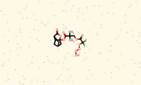 CC(C)(COC(=O)C(F)(F)SOOO)C(=O)OC12CC3CC(C(=O)O1)C2C3